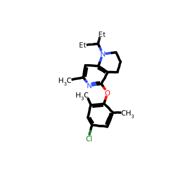 CCC(CC)N1CCCc2c1cc(C)nc2Oc1c(C)cc(Cl)cc1C